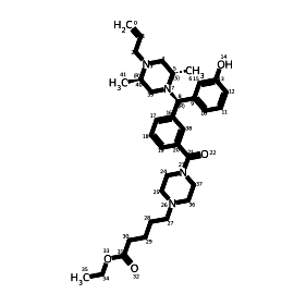 C=CCN1C[C@H](C)N([C@@H](c2cccc(O)c2)c2cccc(C(=O)N3CCN(CCCCC(=O)OCC)CC3)c2)C[C@H]1C